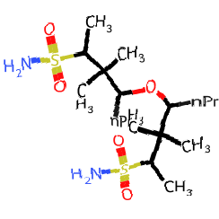 CCCC(OC(CCC)C(C)(C)C(C)S(N)(=O)=O)C(C)(C)C(C)S(N)(=O)=O